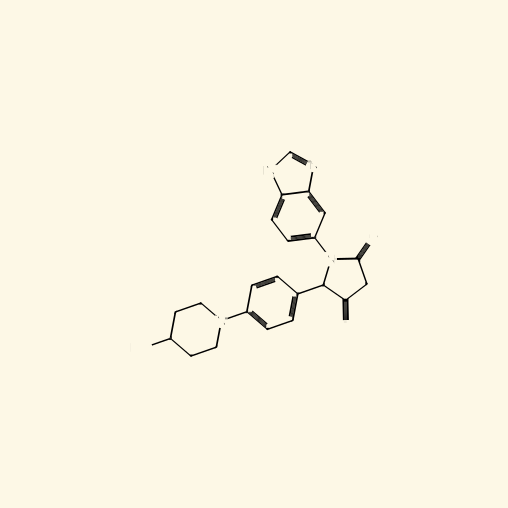 O=C1CC(=O)N(c2ccc3[nH]cnc3c2)C1c1ccc(N2CCC(O)CC2)cc1